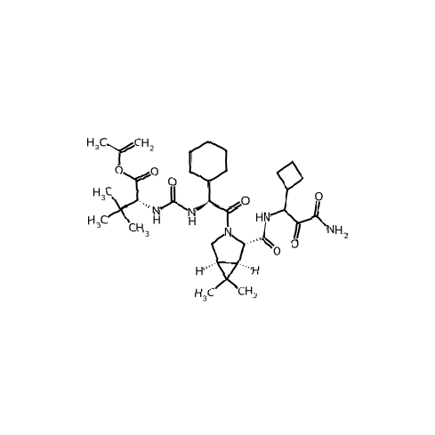 C=C(C)OC(=O)[C@H](NC(=O)N[C@H](C(=O)N1C[C@H]2[C@@H]([C@H]1C(=O)NC(C(=O)C(N)=O)C1CCC1)C2(C)C)C1CCCCC1)C(C)(C)C